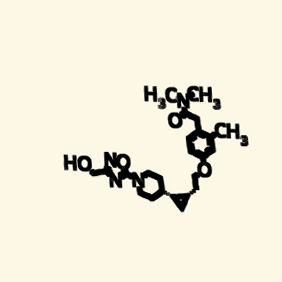 Cc1cc(OCC[C@@H]2C[C@@H]2C2CCN(c3nc(CO)no3)CC2)ccc1CC(=O)N(C)C